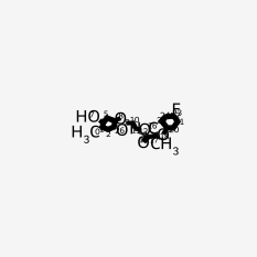 Cc1cc2c(cc1O)OC(CCOC(=O)C(C)(C)Oc1ccc(F)cc1)O2